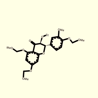 CCO[C@@H]1C(=O)c2c(OCOC)cc(OCOC)cc2O[C@H]1c1ccc(OCOC)c(OC)c1